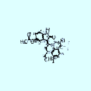 CCCC/C(=C1/C(=O)Nc2ccc(OC(=O)O)cc21)N(CN(C)C)c1ccccc1